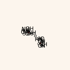 CN[C@@H](C)C(=O)NC(C(=O)N1C[C@@H](O)C[C@H]1C(=O)N[C@@H]1CCCc2c(-c3ccc(-c4cccc5c4CCC[C@H]5NC(=O)[C@@H]4CCCN4C(=O)[C@@H](NC(=O)[C@H](C)NC)C4CCCCC4)cc3)cccc21)C1CCCCC1